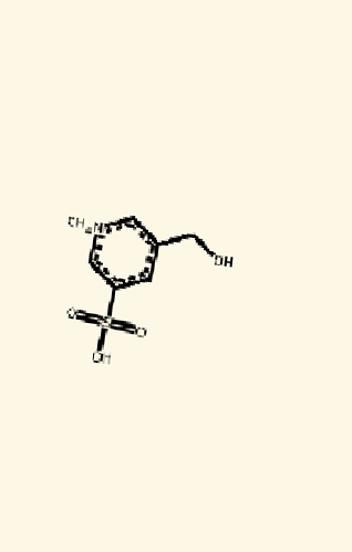 C.O=S(=O)(O)c1cncc(CO)c1